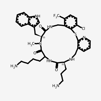 CN1C(=O)C(CCCCN)NC(=O)[C@H](CCCN)NCc2cccnc2Sc2c(Cl)ccc(C(F)(F)F)c2CNC(=O)[C@@H]1Cc1c[nH]c2ccccc12